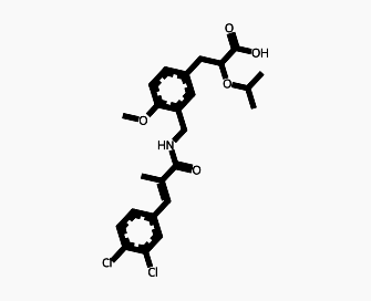 COc1ccc(CC(OC(C)C)C(=O)O)cc1CNC(=O)/C(C)=C/c1ccc(Cl)c(Cl)c1